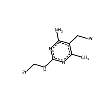 Cc1nc(NCC(C)C)nc(N)c1CC(C)C